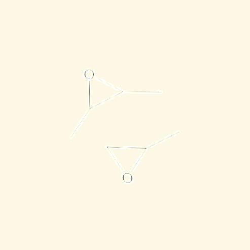 CC1CO1.CC1OC1C